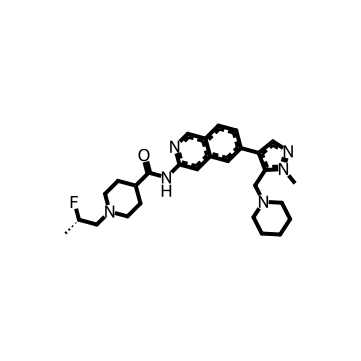 C[C@H](F)CN1CCC(C(=O)Nc2cc3cc(-c4cnn(C)c4CN4CCCCC4)ccc3cn2)CC1